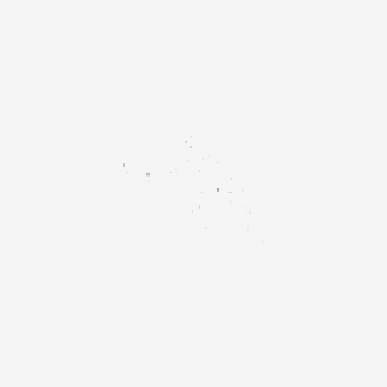 CC(=O)OC1=CC2=C3CCC4C[C@@H](O)C=C[C@]4(C)[C@H]3CC[C@]2(C)[C@H]1N